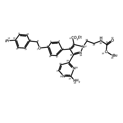 CCOC(=O)c1c(-c2ccc(OCc3ccc(C(C)C)cc3)cc2)c(-c2ccnc(N)n2)nn1CCNC(=O)OC(C)(C)C